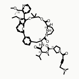 CCn1c(-c2cccnc2[C@H](C)OC)c2c3cc(ccc31)-c1cccc(c1)C[C@H](NC(=O)[C@H](C(C)C)N(C)C(=O)[C@H]1CCN(C(=O)C#CCN(C)C)C1)C(=O)N1CCC[C@H](N1)C(=O)OCC(C)(C)C2